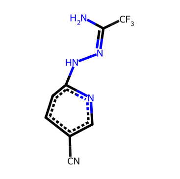 N#Cc1ccc(N/N=C(\N)C(F)(F)F)nc1